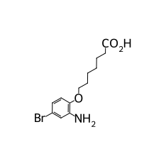 Nc1cc(Br)ccc1OCCCCCCC(=O)O